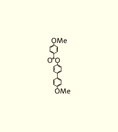 COc1ccc(C(=O)Oc2ccc(-c3ccc(OC)cc3)cc2)cc1